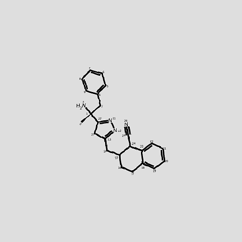 C[C@@](N)(Cc1ccccc1)C1=NN=C(CC2CCc3ccccc3C2C#N)C1